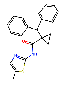 Cc1cnc(NC(=O)C2(C(c3ccccc3)c3ccccc3)CC2)s1